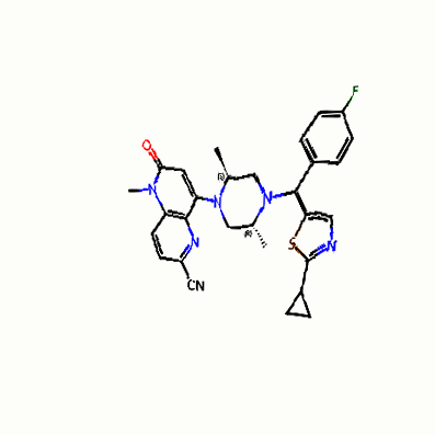 C[C@@H]1CN(c2cc(=O)n(C)c3ccc(C#N)nc23)[C@@H](C)CN1C(c1ccc(F)cc1)c1cnc(C2CC2)s1